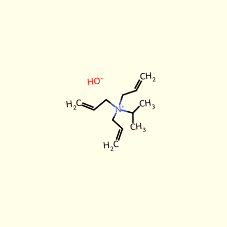 C=CC[N+](CC=C)(CC=C)C(C)C.[OH-]